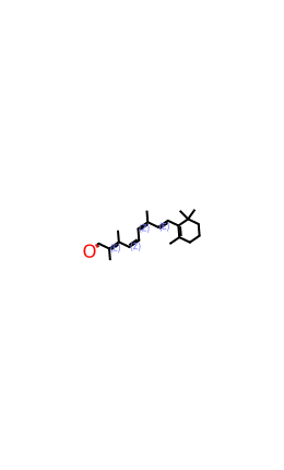 CC1=C(/C=C/C(C)=C\C=C/C(C)=C(\C)C=O)C(C)(C)CCC1